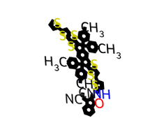 Cc1ccc(C2(c3ccc(C)cc3)c3cc4c(cc3-c3sc5cc(-c6ccc(N/C=C7\C(=O)c8ccccc8C7=C(C#N)C#N)s6)sc5c32)C(c2ccc(C)cc2)(c2ccc(C)cc2)c2c-4sc3c2sc2cc(-c4cccs4)sc23)cc1